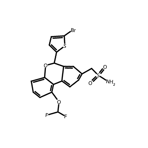 NS(=O)(=O)Cc1ccc2c(c1)C(c1ccc(Br)s1)Oc1cccc(OC(F)F)c1-2